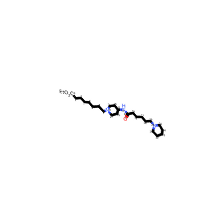 CCOC(=O)CCCCCCCN1CCC(NC(=O)CCCCCN2CCCCC2)CC1